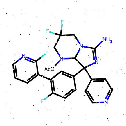 CC(=O)ON1CC(F)(F)CN2C(N)=NC(c3ccncc3)(c3ccc(F)c(-c4cccnc4F)c3)C12